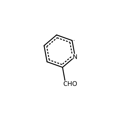 O=Cc1ccc[c]n1